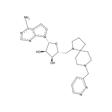 Nc1ncnc2c1ccn2[C@@H]1O[C@H](CN2CCCC23CCN(Cc2cccnn2)CC3)[C@@H](O)[C@H]1O